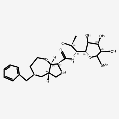 CSC1O[C@H]([C@H](NC(=O)[C@H]2NC[C@@H]3CN(Cc4ccccc4)CCO[C@H]32)[C@H](C)Cl)C(O)[C@@H](O)[C@H]1O